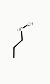 CCCPO